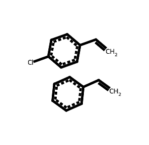 C=Cc1ccc(Cl)cc1.C=Cc1ccccc1